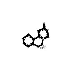 Cl.O=c1ccn2c(c1)-c1ccccc1CC2